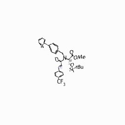 COC(=O)[C@H](CO[Si](C)(C)C(C)(C)C)N(Cc1ccc(-c2ccccn2)cc1)C(=O)/C=C/c1ccc(C(F)(F)F)cc1